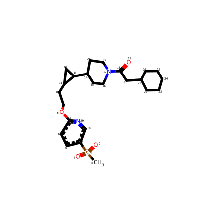 CS(=O)(=O)c1ccc(OCCC2CC2C2CCN(C(=O)CC3CCCCC3)CC2)nc1